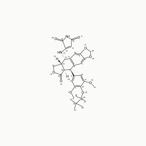 COc1cc([C@@H]2c3cc4c(cc3[C@@H](NC3=CC(=O)[N]C3=O)[C@H]3COC(=O)[C@H]23)OCO4)cc(OC)c1O[Si](C)(C)C(C)(C)C